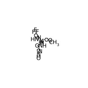 COc1ccc(Cn2nc(NC(=O)c3ccc(N4CCOCC4)nc3)cc2-c2nc3cc(C(F)(F)F)ccc3[nH]2)cc1